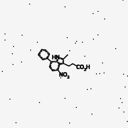 Cc1[nH]c2c(-c3ccccc3)ccc([N+](=O)[O-])c2c1CCC(=O)O